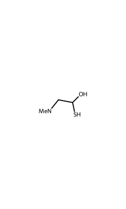 CNCC(O)S